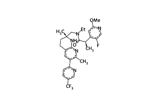 CCN(C[C@@]1(C)CCc2cc(-c3ccc(C(F)(F)F)cn3)c(C)nc2N1)C(=O)[C@H](C)c1cc(OC)ncc1F